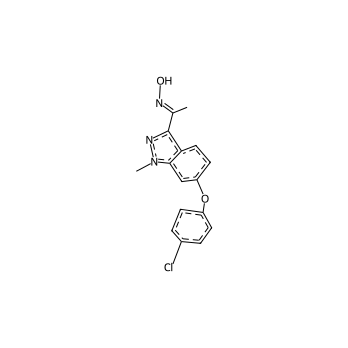 C/C(=N\O)c1nn(C)c2cc(Oc3ccc(Cl)cc3)ccc12